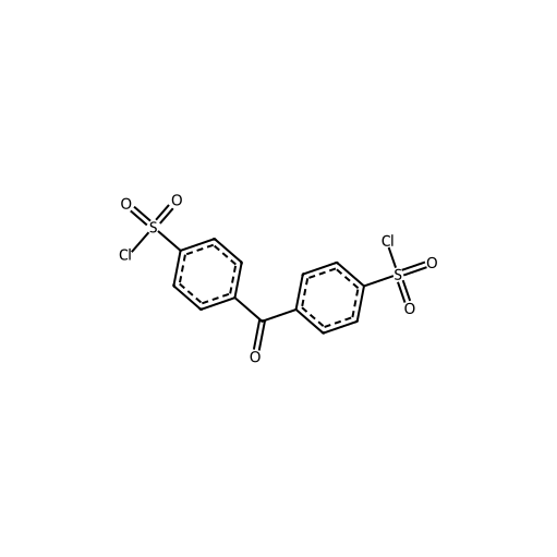 O=C(c1ccc(S(=O)(=O)Cl)cc1)c1ccc(S(=O)(=O)Cl)cc1